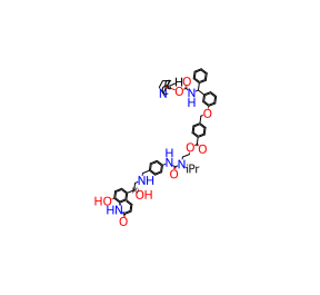 CC(C)N(CCOC(=O)c1ccc(COc2cccc(C(NC(=O)O[C@H]3CN4CCC3CC4)c3ccccc3)c2)cc1)C(=O)Nc1ccc(CNC[C@H](O)c2ccc(O)c3[nH]c(=O)ccc23)cc1